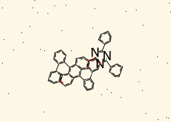 c1ccc(-c2nc(-c3ccccc3)nc(-c3ccc4c(-c5ccccc5-c5ccccc5)c5ccccc5c(-c5ccccc5-c5ccccc5)c4c3)n2)cc1